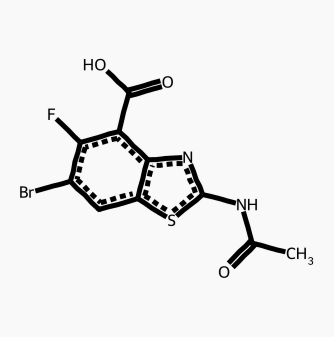 CC(=O)Nc1nc2c(C(=O)O)c(F)c(Br)cc2s1